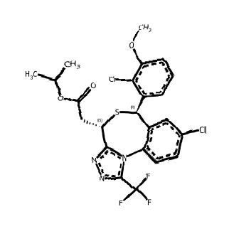 COc1cccc([C@@H]2S[C@@H](CC(=O)OC(C)C)c3nnc(C(F)(F)F)n3-c3ccc(Cl)cc32)c1Cl